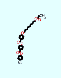 C=CC(=O)OCCCCCCCCCOc1ccc(C(=O)Oc2ccc(C(=O)Oc3ccc(CC)cc3)cc2)cc1